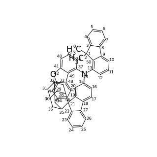 CC1(C)c2ccccc2-c2cccc(N(c3ccc4c(c3)C3(c5ccccc5-4)C4CC5CC(C4)CC3C5)c3cccc4oc5ccccc5c34)c21